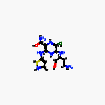 Cc1cc(Nc2nc(NC(C=O)CCN)c(Cl)nc2C(N)=O)sn1